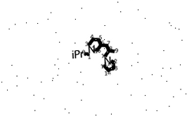 CC(C)CN1CCCC(CC(C)CN2CCCC2)C1